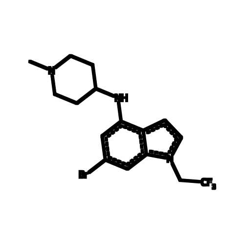 CN1CCC(Nc2cc(Br)cc3c2ccn3CC(F)(F)F)CC1